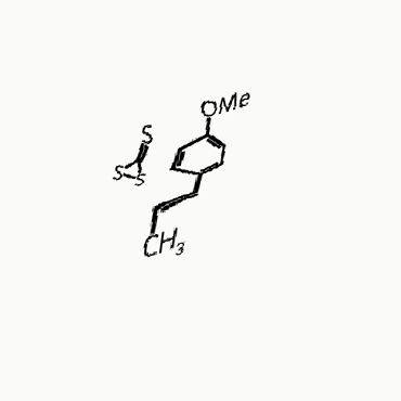 CC=Cc1ccc(OC)cc1.S=C1SS1